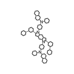 c1ccc(-c2cccc(-c3cc4cc5c(cc(-c6cccc(-c7ccccc7)c6)n5-c5ccc(N(c6ccccc6)c6ccc7ccccc7c6)cc5)cc4n3-c3ccc(N(c4ccccc4)c4ccc5ccccc5c4)cc3)c2)cc1